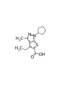 CCc1c(C(=O)O)sc2c1c(C)nn2C1CCCC1